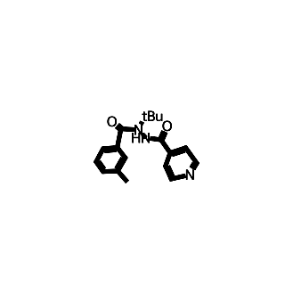 Cc1cccc(C(=O)N(NC(=O)c2ccncc2)C(C)(C)C)c1